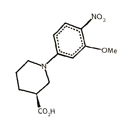 COc1cc(N2CCC[C@H](C(=O)O)C2)ccc1[N+](=O)[O-]